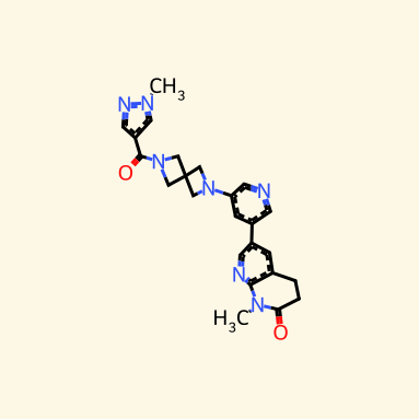 CN1C(=O)CCc2cc(-c3cncc(N4CC5(CN(C(=O)c6cnn(C)c6)C5)C4)c3)cnc21